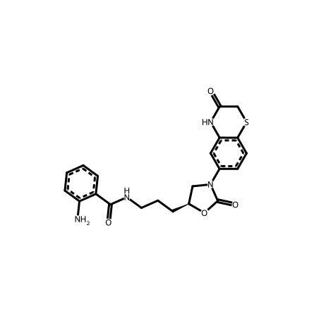 Nc1ccccc1C(=O)NCCC[C@H]1CN(c2ccc3c(c2)NC(=O)CS3)C(=O)O1